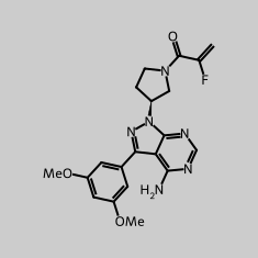 C=C(F)C(=O)N1CC[C@H](n2nc(-c3cc(OC)cc(OC)c3)c3c(N)ncnc32)C1